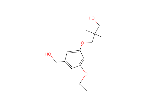 CCOc1cc(CO)cc(OCC(C)(C)CO)c1